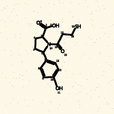 O=C(O)C1CCC(c2ccc(O)cc2)N1C(=O)CCS